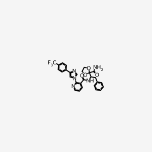 NC(=O)C1(C(Cc2ccccc2)NC(=O)c2cccnc2-n2cnc(-c3ccc(C(F)(F)F)cc3)c2)OCCO1